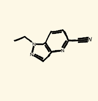 CCn1ncc2nc(C#N)ccc21